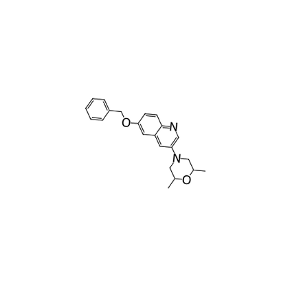 CC1CN(c2cnc3ccc(OCc4ccccc4)cc3c2)CC(C)O1